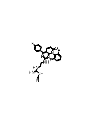 N#CNC(=N)NCCNc1nc(-c2ccc(F)cc2)c2ccc(=O)n(-c3c(F)cccc3F)c2n1